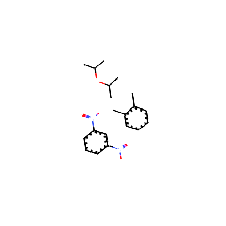 CC(C)OC(C)C.Cc1ccccc1C.O=[N+]([O-])c1cccc([N+](=O)[O-])c1